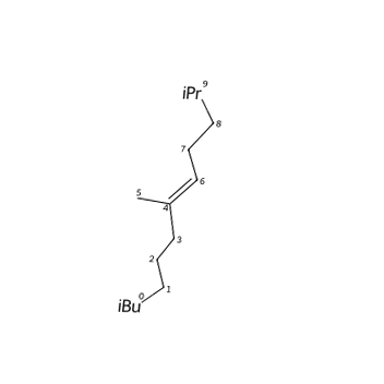 CCC(C)CCC/C(C)=C/CCC(C)C